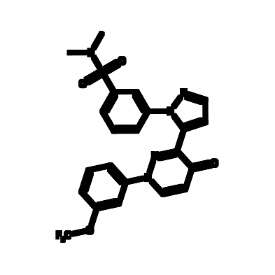 CN(C)S(=O)(=O)c1cccc(-n2nccc2-c2nn(-c3cccc(OC(F)(F)F)c3)ccc2=O)c1